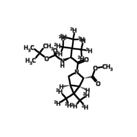 [2H]C([2H])([2H])C1(C([2H])([2H])[2H])[C@@H]2[C@@H](C(=O)OC)N(C(=O)[C@@H](NC(=O)OC(C)(C)C)C(C([2H])([2H])[2H])(C([2H])([2H])[2H])C([2H])([2H])[2H])C[C@@H]21